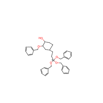 OC1CCC(CC[Si](OCc2ccccc2)(OCc2ccccc2)OCc2ccccc2)CC1OCc1ccccc1